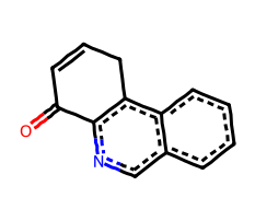 O=C1C=CCc2c1ncc1ccccc21